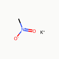 C[N+](=O)[O-].[K+]